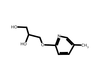 Cc1ccc(OCC(O)CO)nc1